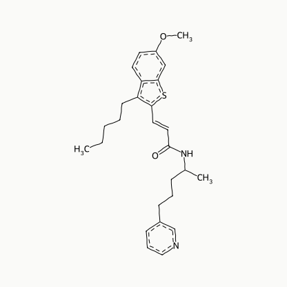 CCCCCc1c(/C=C/C(=O)NC(C)CCCc2cccnc2)sc2cc(OC)ccc12